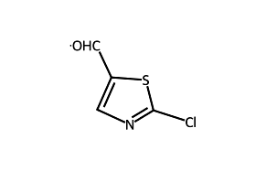 O=[C]c1cnc(Cl)s1